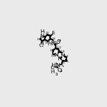 CC(=O)NCc1ccn(Cc2cc(C(=O)NCc3cc4c(Cl)c[nH]c4cc3F)ccn2)n1